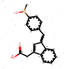 C[S+]([O-])c1ccc(C=C2C=C(CC(=O)O)c3ccccc32)cc1